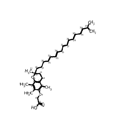 Cc1c(C)c2c(c(C)c1OCC(=O)O)CC[C@@](C)(CCCCCCCCCCCCCCCC(C)C)O2